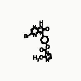 Cc1nccn1C(=O)OC1CCC(n2c(=O)[nH]c3ncc(Br)nc32)CC1